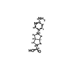 Nc1ccc(N2CC3CN(C(=O)O)CC3C2)cn1